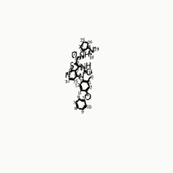 Cc1cc(Oc2ccccc2)ccc1N1C(=O)Nc2c(C(=O)N[C@H]3CCC[C@H]3N(C)C)sc3nccc1c23